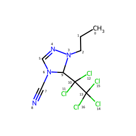 CCCN1N=CN(C#N)C1C(Cl)(Cl)C(Cl)(Cl)Cl